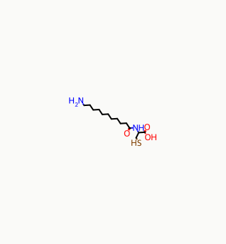 NCCCCCCCCCCC(=O)NC(CS)C(=O)O